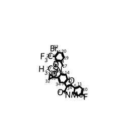 CNC(=O)c1c(-c2ccc(F)cc2)oc2cc(N(Cc3ccc(Br)c(C(F)(F)F)c3)S(C)(=O)=O)c(C3CC3)cc12